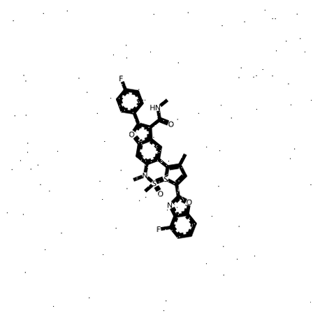 CNC(=O)c1c(-c2ccc(F)cc2)oc2cc3c(cc12)C1=C(C)C=C(c2nc4c(F)cccc4o2)S1=S(C)(=O)N3C